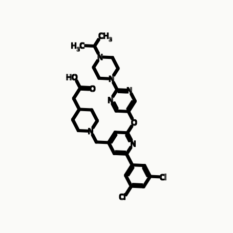 CC(C)N1CCN(c2ncc(Oc3cc(CN4CCC(CC(=O)O)CC4)cc(-c4cc(Cl)cc(Cl)c4)n3)cn2)CC1